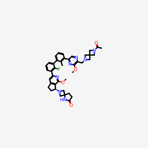 COc1nc(-c2cccc(-c3cccc(-c4cc5c(c(OC)n4)[C@@H](N4CC6(CCC(=O)N6)C4)CC5)c3F)c2C)cnc1CN1CC2(C1)CN(C(C)=O)C2